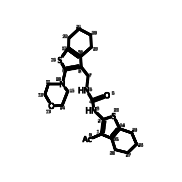 CC(=O)c1c(NC(=O)NCc2c(N3CCOCC3)sc3c2CCCC3)sc2c1CCCC2